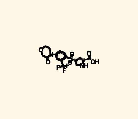 O=C(O)[C@@H]1C[C@@H](S(=O)(=O)c2ccc(N3CCOCC3=O)cc2C(F)(F)F)CN1